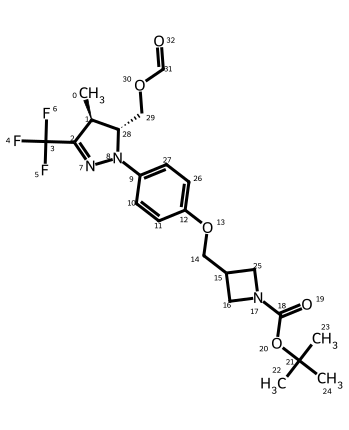 C[C@@H]1C(C(F)(F)F)=NN(c2ccc(OCC3CN(C(=O)OC(C)(C)C)C3)cc2)[C@H]1COC=O